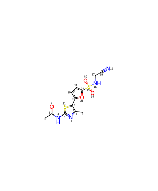 CC(=O)Nc1nc(C)c(-c2ccc(S(=O)(=O)NCC#N)o2)s1